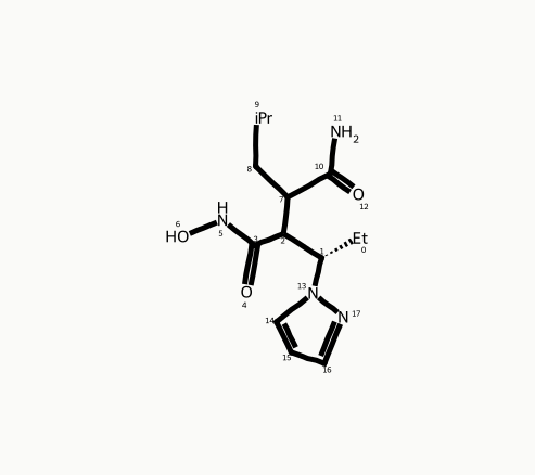 CC[C@@H](C(C(=O)NO)C(CC(C)C)C(N)=O)n1cccn1